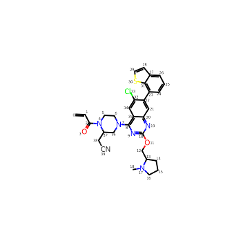 C=CC(=O)N1CCN(c2nc(OCC3CCCN3C)nc3cc(-c4cccc5ccsc45)c(Cl)cc23)CC1CC#N